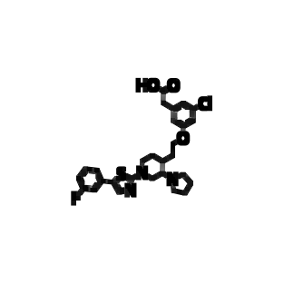 O=C(O)Cc1cc(Cl)cc(OCCC2CCN(c3ncc(-c4cccc(F)c4)s3)CC2N2CCCC2)c1